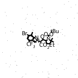 CCOC(=O)C(C(=O)C1CCC(C)(C)N1C(=O)OC(C)(C)C)n1cc2c(C(F)(F)F)cc(Br)c(C)c2n1